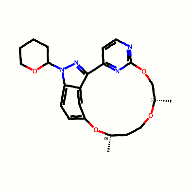 C[C@H]1COc2nccc(n2)-c2nn(C3CCCCO3)c3ccc(cc23)O[C@@H](C)CCO1